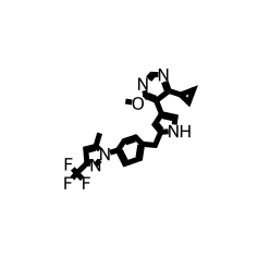 COc1ncnc(C2CC2)c1-c1c[nH]c(Cc2ccc(-n3nc(C(F)(F)F)cc3C)cc2)c1